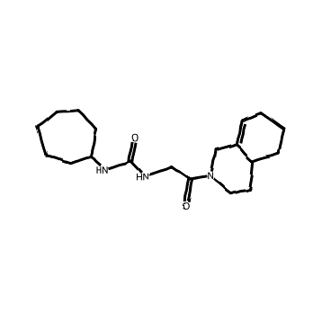 O=C(NCC(=O)N1CCC2CCCC=C2C1)NC1CCCCCC1